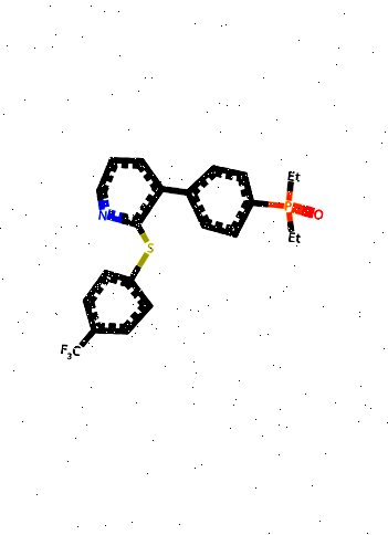 CCP(=O)(CC)c1ccc(-c2cccnc2Sc2ccc(C(F)(F)F)cc2)cc1